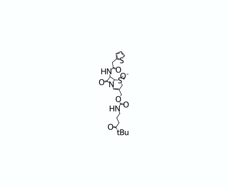 CC(C)(C)C(=O)CCCNC(=O)OCC1=CN2C(=O)C(NC(=O)Cc3cccs3)C2[S+]([O-])C1